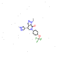 CCn1ncc2c(-c3cnn(C)c3)cn(-c3ccc(OC(F)(F)F)cc3)c(=O)c21